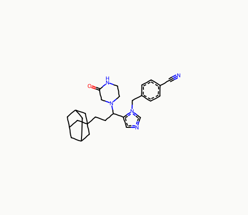 N#Cc1ccc(Cn2cncc2C(CCC23CC4CC(CC(C4)C2)C3)N2CCNC(=O)C2)cc1